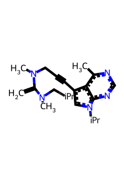 C=C(N(C)CC#Cc1cn(C(C)C)c2ncnc(C)c12)N(C)CC(C)C